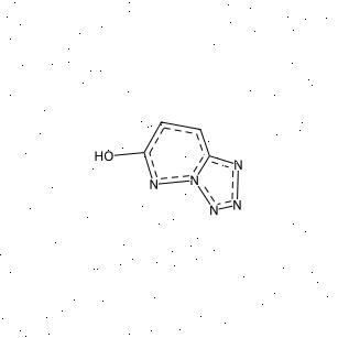 Oc1ccc2nnnn2n1